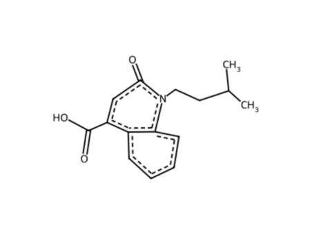 CC(C)CCn1c(=O)cc(C(=O)O)c2ccccc21